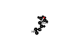 CC(C)(C)c1cc(-c2cc(-c3cccc4[nH]c5ccccc5c34)ccn2)cc(-c2cccc3c2nc(-c2cc(C(C)(C)C)cc(C(C)(C)C)c2O)n3-c2cc(C(C)(C)C)cc(C(C)(C)C)c2)c1